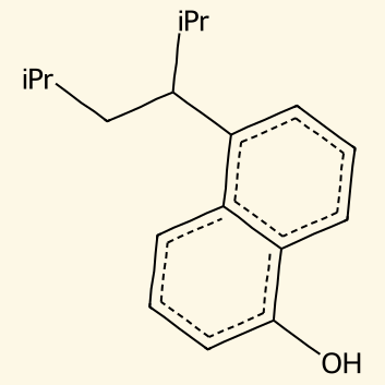 CC(C)CC(c1cccc2c(O)cccc12)C(C)C